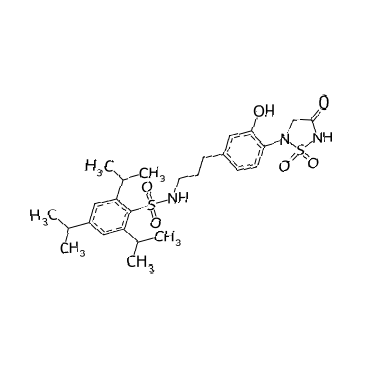 CC(C)c1cc(C(C)C)c(S(=O)(=O)NCCCc2ccc(N3CC(=O)NS3(=O)=O)c(O)c2)c(C(C)C)c1